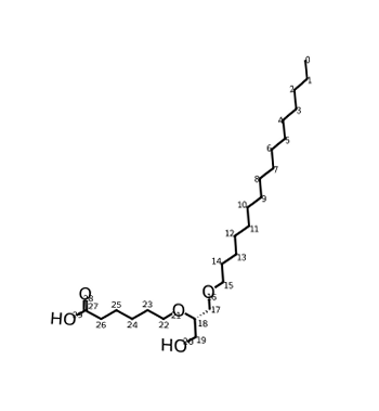 CCCCCCCCCCCCCCCCOC[C@H](CO)OCCCCCC(=O)O